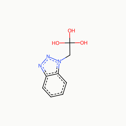 OC(O)(O)Cn1nnc2ccccc21